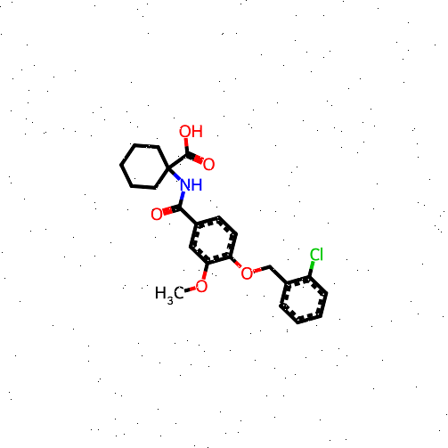 COc1cc(C(=O)NC2(C(=O)O)CCCCC2)ccc1OCc1ccccc1Cl